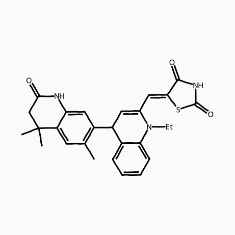 CCN1C(C=C2SC(=O)NC2=O)=CC(c2cc3c(cc2C)C(C)(C)CC(=O)N3)c2ccccc21